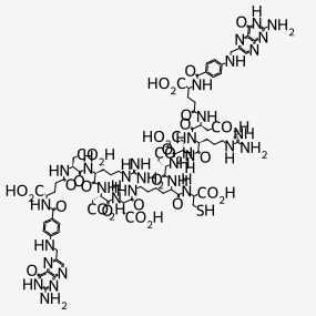 N=C(N)NCCC[C@H](NC(=O)[C@H](CC(=O)O)NC(=O)CC[C@H](NC(=O)c1ccc(NCc2cnc3nc(N)[nH]c(=O)c3n2)cc1)C(=O)O)C(=O)N[C@@H](CC(=O)O)C(=O)N[C@@H](CC(=O)O)C(=O)NCCCCC(NC(=O)[C@H](CC(=O)O)NC(=O)[C@H](CC(=O)O)NC(=O)[C@H](CCCNC(=N)N)NC(=O)[C@H](CC(=O)O)NC(=O)CC[C@H](NC(=O)c1ccc(NCc2cnc3nc(N)[nH]c(=O)c3n2)cc1)C(=O)O)C(=O)N[C@H](CS)C(=O)O